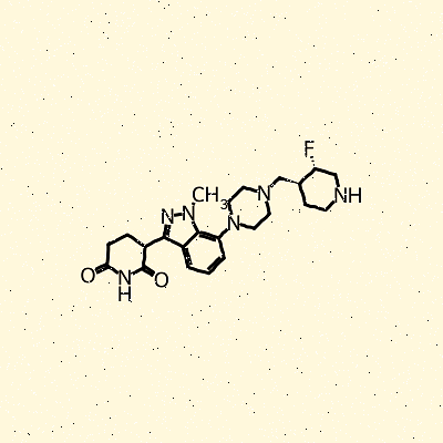 Cn1nc(C2CCC(=O)NC2=O)c2cccc(N3CCN(C[C@@H]4CCNC[C@H]4F)CC3)c21